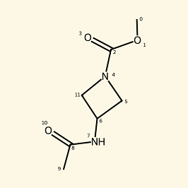 COC(=O)N1CC(NC(C)=O)C1